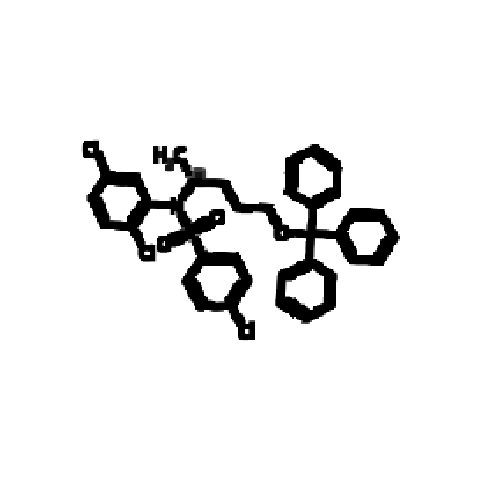 C[C@H](CCCOC(c1ccccc1)(c1ccccc1)c1ccccc1)N(c1cc(Cl)ccc1Cl)S(=O)(=O)c1ccc(Cl)cc1